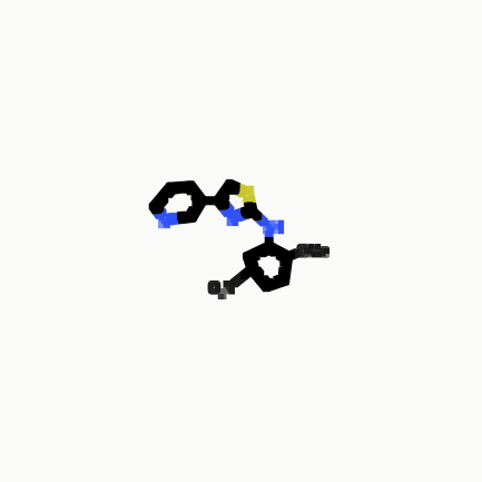 COc1ccc([N+](=O)[O-])cc1Nc1nc(-c2cccnc2)cs1